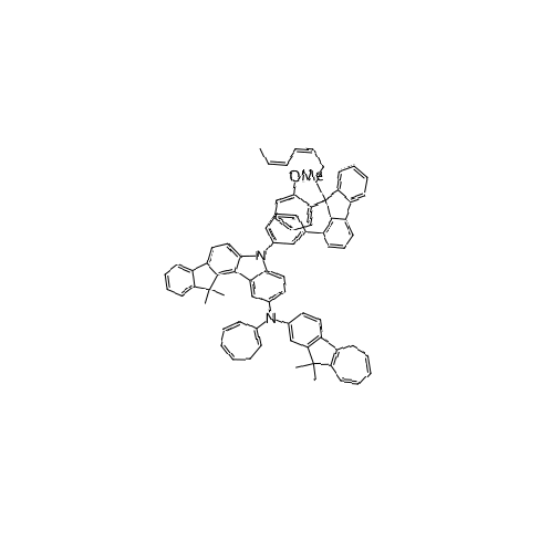 C/C=C\C=C/CCC1(c2ccccc2OC)c2ccccc2-c2cccc(-c3cccc(-n4c5ccc(N(C6=CCC=CC=C6)c6ccc7c(c6)C(C)(C)C6=C7CC=CC=C6)cc5c5c6c(ccc54)-c4ccccc4C6(C)C)c3)c21